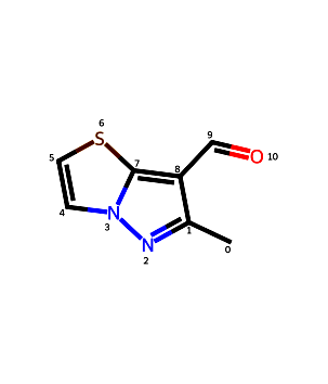 Cc1nn2ccsc2c1C=O